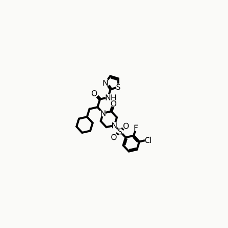 O=C(Nc1nccs1)C(CC1CCCCC1)N1CCN(S(=O)(=O)c2cccc(Cl)c2F)CC1=O